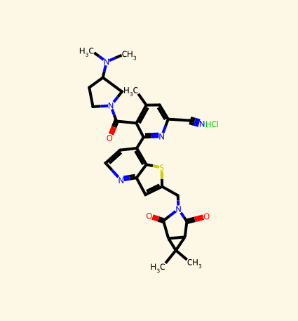 Cc1cc(C#N)nc(-c2ccnc3cc(CN4C(=O)C5C(C4=O)C5(C)C)sc23)c1C(=O)N1CCC(N(C)C)C1.Cl